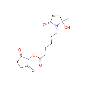 CC1(O)C=CC(=O)N1CCCCCC(=O)ON1C(=O)CCC1=O